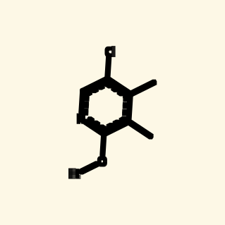 CCOc1ncc(Cl)c(C)c1C